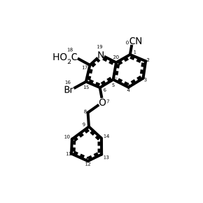 N#Cc1cccc2c(OCc3ccccc3)c(Br)c(C(=O)O)nc12